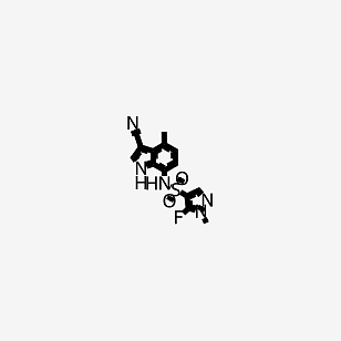 Cc1ccc(NS(=O)(=O)c2cnn(C)c2F)c2[nH]cc(C#N)c12